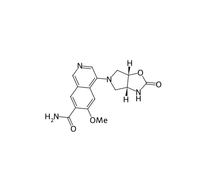 COc1cc2c(N3C[C@@H]4OC(=O)N[C@@H]4C3)cncc2cc1C(N)=O